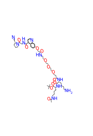 CC(=O)NCCCC[C@H](NC(=O)[C@H](CCCCN)NC(=O)CCOCCOCCOCCNC(=O)COc1ccc2c(C(=O)NCC(=O)N3CCC[C@H]3C#N)ccnc2c1)C(=O)OC(C)(C)C